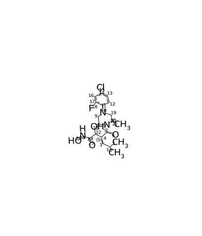 CC(C)C[C@H](C(=O)N1CCN(c2ccc(Cl)cc2F)C[C@H]1C)C(O)C(=O)NO